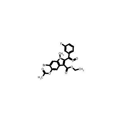 CCOC(=O)c1c(C(=S=O)c2cccc(F)c2)n(C)c2cc(Br)c(OC(C)=O)cc12